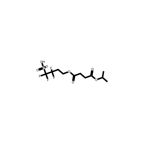 CC(C)OC(=O)CCC(=O)OCCC(F)(F)C(F)(F)S(=O)(=O)O